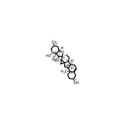 C[C@H]1C[C@H]2O[C@]3(CC[C@H]4[C@@H]5CC=C6C[C@@H](O)CC[C@]6(C)[C@H]5CC45CC53C)[C@H](C)[C@@H]2N(O)C1